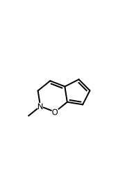 CN1CC=C2C=CC=C2O1